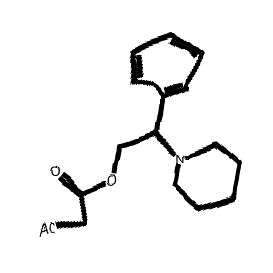 CC(=O)CC(=O)OCC(c1ccccc1)N1CCCCC1